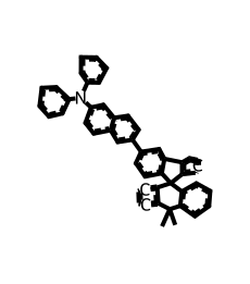 CC1(C)c2ccccc2C2(c3ccccc3-c3cc(-c4ccc5cc(N(c6ccccc6)c6ccccc6)ccc5c4)ccc32)c2ccccc21